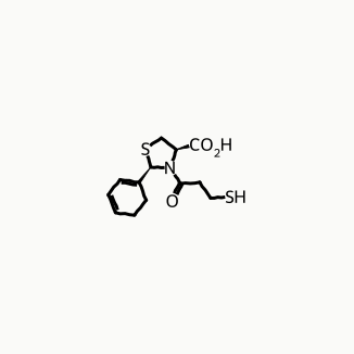 O=C(O)[C@@H]1CS[C@H](C2=CC=CCC2)N1C(=O)CCS